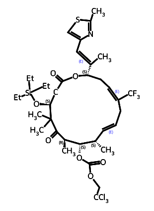 CC[Si](CC)(CC)O[C@H]1CC(=O)O[C@H](/C(C)=C/c2csc(C)n2)C/C=C(/C(F)(F)F)C/C=C/[C@H](C)[C@H](OC(=O)OCC(Cl)(Cl)Cl)[C@@H](C)C(=O)C1(C)C